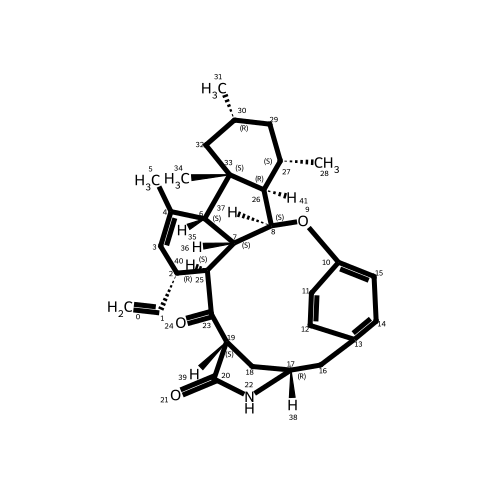 C=C[C@@H]1C=C(C)[C@H]2[C@@H]3[C@H](Oc4ccc(cc4)C[C@H]4C[C@H](C(=O)N4)C(=O)[C@@H]13)[C@@H]1[C@@H](C)C[C@@H](C)C[C@]12C